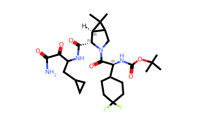 CC(C)(C)OC(=O)N[C@H](C(=O)N1CC2[C@@H]([C@H]1C(=O)NC(CC1CC1)C(=O)C(N)=O)C2(C)C)C1CCC(F)(F)CC1